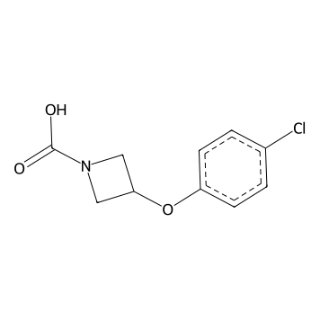 O=C(O)N1CC(Oc2ccc(Cl)cc2)C1